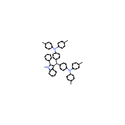 Cc1ccc(N(c2ccc(C)cc2)c2ccc(C(c3ccc(N(c4ccc(C)cc4)c4ccc(C)cc4)cc3)c3c(-c4ccccc4)n(C)c4ccccc34)cc2)cc1